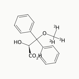 [2H]C([2H])([2H])OC(c1ccccc1)(c1ccccc1)[C@H](O)C(=O)O